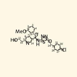 COc1ccccc1-c1cc(CCO)ncc1C(=O)Nc1nnc(OCc2ccc(Cl)cc2)s1